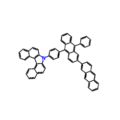 c1ccc(-c2c3ccccc3c(-c3ccc(-n4c5ccc6ccccc6c5c5c6ccccc6ccc54)cc3)c3ccc(-c4ccc5cc6ccccc6cc5c4)cc23)cc1